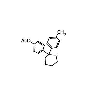 CC(=O)Oc1ccc(C2(c3ccc(C)cc3)CCCCC2)cc1